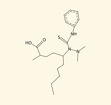 CCCCCC(CCC(C)C(=O)O)N(C(=S)Nc1ccccc1)N(C)C